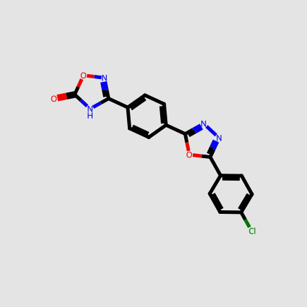 O=c1[nH]c(-c2ccc(-c3nnc(-c4ccc(Cl)cc4)o3)cc2)no1